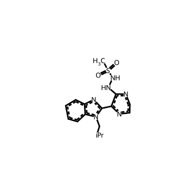 CC(C)Cn1c(-c2nccnc2NNS(C)(=O)=O)nc2ccccc21